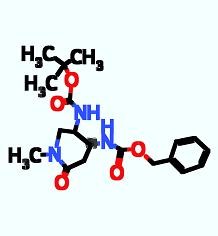 CN1CC(NC(=O)OC(C)(C)C)[C@H](NC(=O)OCc2ccccc2)CC1=O